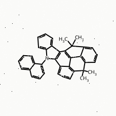 CC1(C)c2cccc3c2-c2c(c4c5ccccc5n(-c5cccc6ccccc56)c4c4cccc1c24)C3(C)C